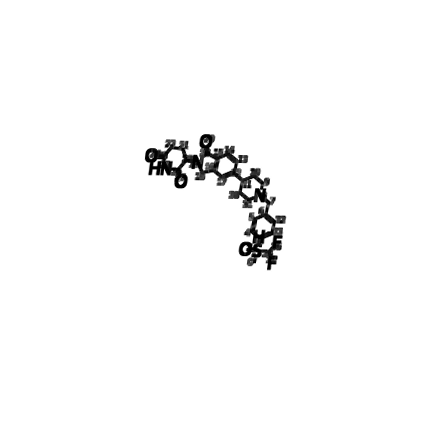 C[SH](=O)(c1ccc(CN2CCC(c3ccc4c(c3)CN(C3CCC(=O)NC3=O)C4=O)CC2)cc1)C(F)F